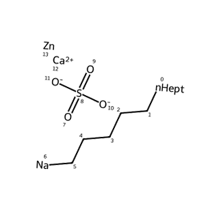 CCCCCCCCCCC[CH2][Na].O=S(=O)([O-])[O-].[Ca+2].[Zn]